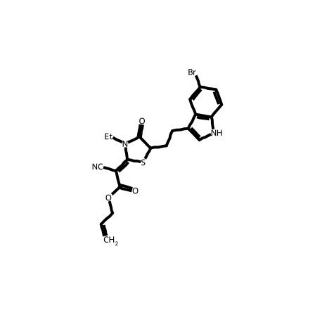 C=CCOC(=O)/C(C#N)=C1\SC(CCc2c[nH]c3ccc(Br)cc23)C(=O)N1CC